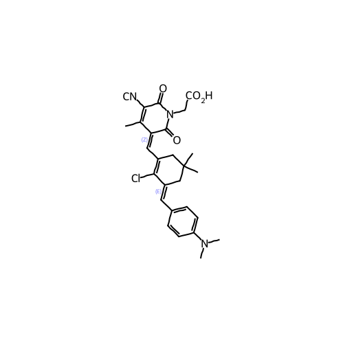 [C-]#[N+]C1=C(C)/C(=C/C2=C(Cl)C(=C/c3ccc(N(C)C)cc3)/CC(C)(C)C2)C(=O)N(CC(=O)O)C1=O